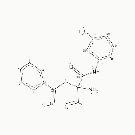 CC1=C(c2ccccc2)CC(N)(C(=O)Nc2cccc(C(F)(F)F)c2)C=C1